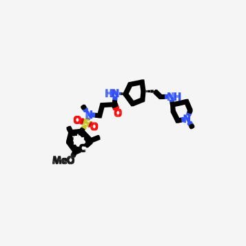 COc1cc(C)c(S(=O)(=O)N(C)CCC(=O)N[C@H]2CC[C@@H](CCNC3CCN(C)CC3)CC2)c(C)c1